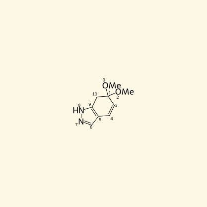 COC1(OC)C=Cc2cn[nH]c2C1